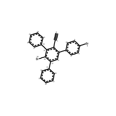 C#Cc1c(-c2ccc(Br)cc2)cc(-c2ccccc2)c(Br)c1-c1ccccc1